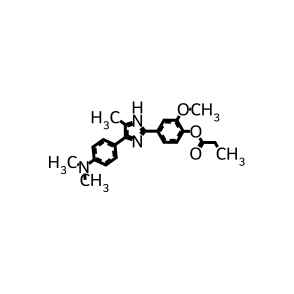 CCC(=O)Oc1ccc(-c2nc(-c3ccc(N(C)C)cc3)c(C)[nH]2)cc1OC